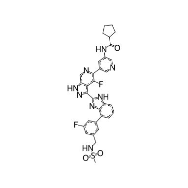 CS(=O)(=O)NCc1cc(F)cc(-c2cccc3[nH]c(-c4n[nH]c5cnc(-c6cncc(NC(=O)C7CCCC7)c6)c(F)c45)nc23)c1